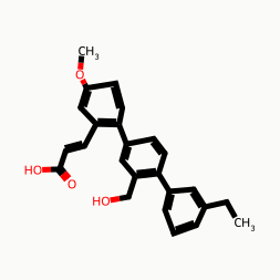 CCc1cccc(-c2ccc(-c3ccc(OC)cc3/C=C/C(=O)O)cc2CO)c1